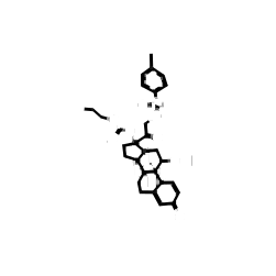 CCCOC(=O)O[C@]1(C(=O)COS(=O)(=O)c2ccc(C)cc2)CC[C@H]2[C@@H]3CCC4=CC(=O)C=C[C@]4(C)[C@@]3(Cl)C(O)C[C@@]21C